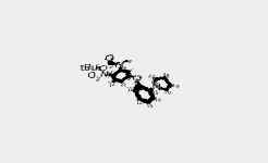 CN(C(=O)OC(C)(C)C)c1cc(Oc2ccccc2N2CCCC2)ccc1[N+](=O)[O-]